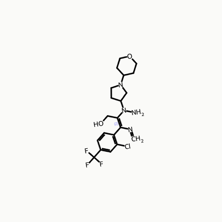 C=N/C(=C(/CO)N(N)C1CCN(C2CCOCC2)C1)c1ccc(C(F)(F)F)cc1Cl